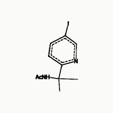 CC(=O)NC(C)(C)c1ccc(I)cn1